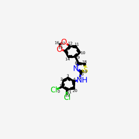 Clc1ccc(Nc2nc(-c3ccc4c(c3)OCO4)cs2)cc1Cl